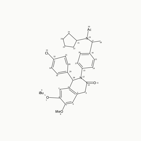 CC[C@@H](C)Oc1cc2c(cc1OC)CC(=O)N(c1ccc(C(C)N(C(C)=O)C3CCCC3)cc1)C2c1ccc(Cl)cc1